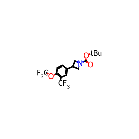 CC(C)(C)OC(=O)N1CC(c2ccc(OC(F)(F)F)c(C(F)(F)F)c2)C1